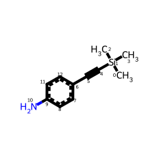 C[Si](C)(C)C#Cc1ccc(N)cc1